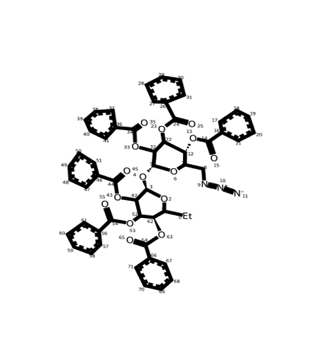 CCC1O[C@H](O[C@H]2OC(CN=[N+]=[N-])[C@@H](OC(=O)c3ccccc3)C(OC(=O)c3ccccc3)C2OC(=O)c2ccccc2)C(OC(=O)c2ccccc2)C(OC(=O)c2ccccc2)[C@@H]1OC(=O)c1ccccc1